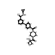 O=C(NC1CC1)c1cccc(-c2ccc(C(=O)N3CCN(C(=O)C4(O)COC4)CC3)cc2)c1